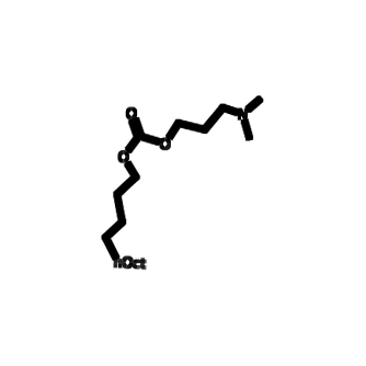 CCCCCCCCCCCCOC(=O)OCCCN(C)C